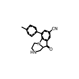 Cc1ccc(-c2cc(C#N)cc3c2N2CCNCC2C3=O)cc1